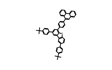 CC(C)(C)c1ccc(-c2ccc3sc4c(-c5ccc(-c6cc7ccccc7c7ccccc67)cc5)cc(-c5ccc(C(C)(C)C)cc5)cc4c3c2)cc1